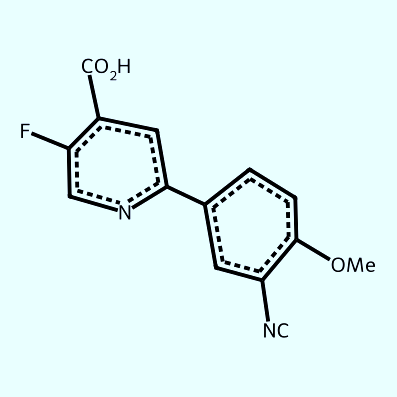 [C-]#[N+]c1cc(-c2cc(C(=O)O)c(F)cn2)ccc1OC